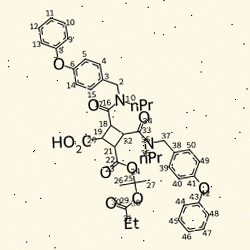 CCCN(Cc1ccc(Oc2ccccc2)cc1)C(=O)C1C(C(=O)O)C(C(=O)OC(C)(C)OC(=O)CC)C1C(=O)N(CCC)Cc1ccc(Oc2ccccc2)cc1